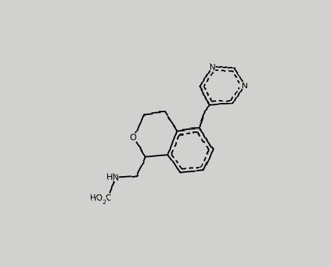 O=C(O)NCC1OCCc2c(-c3cncnc3)cccc21